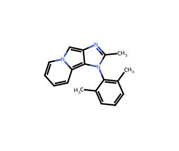 Cc1cccc(C)c1-n1c(C)nc2cn3ccccc3c21